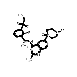 CC(=O)N1CCP(=O)(c2cc3c(N[C@H](C)c4cccc(C(F)(F)CO)c4F)nc(C)nc3cn2)CC1